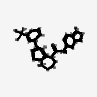 O=C(Nc1ccc2[nH]ncc2c1)N1CCCNc2ccc(-c3cccc(C(F)(F)F)c3)nc21